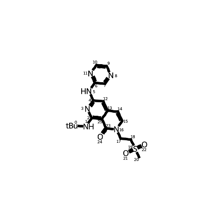 CC(C)(C)Nc1nc(Nc2cnccn2)cc2ccn(CCS(C)(=O)=O)c(=O)c12